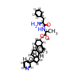 CC(NC(=O)C(N)Cc1ccccc1)C(=O)O[C@H]1CC[C@@]2(C)C(=CC[C@@H]3[C@@H]2CC[C@]2(C)C(c4cccnc4)=CC[C@@H]32)C1